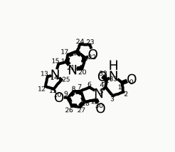 O=C1CCC(N2Cc3cc(O[C@H]4CCN(Cc5cc6c(cn5)OCC6)C4)ccc3C2=O)C(=O)N1